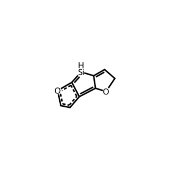 C1=C2[SiH]=c3occc3=C2OC1